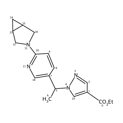 CCOC(=O)c1cnn(C(C)c2ccc(N3CC4CC4C3)nc2)c1